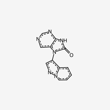 O=c1[nH]c2ncncc2n1-c1cnn2ccccc12